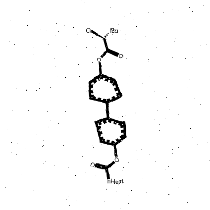 CCCCCCCC(=O)Oc1ccc(-c2ccc(OC(=O)[C@@H](Cl)[C@@H](C)CC)cc2)cc1